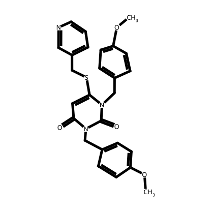 COc1ccc(Cn2c(SCc3cccnc3)cc(=O)n(Cc3ccc(OC)cc3)c2=O)cc1